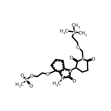 Cn1c(=O)n(C2CCC(=O)N(COCC[Si](C)(C)C)C2=O)c2cccc(OCCOS(C)(=O)=O)c21